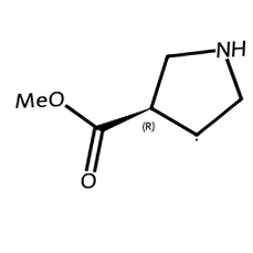 COC(=O)[C@@H]1[CH]CNC1